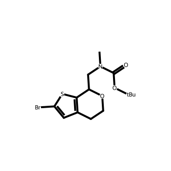 CN(CC1OCCc2cc(Br)sc21)C(=O)OC(C)(C)C